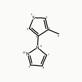 Cc1[c]scc1-n1cccn1